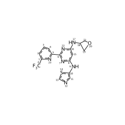 FC(F)(F)c1cccc(-c2nc(Nc3cncs3)cc(NC3COC3)n2)n1